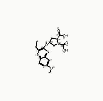 CCc1nc2ccc(OC)cc2nc1O[C@@H]1C[C@@H](C(=O)O)N(C(=O)O)C1